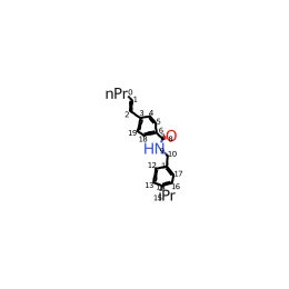 CCC/C=C/c1ccc(C(=O)NCc2ccc(C(C)C)cc2)cc1